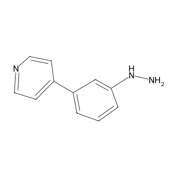 NNc1cccc(-c2ccncc2)c1